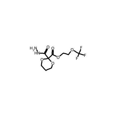 NNC(=O)C1(C(=O)OCCOC(F)(F)F)OCCCO1